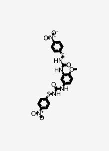 COc1ccc(NC(=O)NSc2ccc([N+](=O)[O-])cc2)cc1NC(=O)NSc1ccc([N+](=O)[O-])cc1